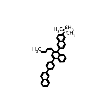 C/C=C\C=C/c1cc(-c2ccc(-c3ccc4ccccc4c3)cc2)c2ccccc2c1-c1ccc2cc([Si](C)(C)C)ccc2c1